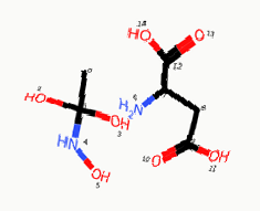 CC(O)(O)NO.NC(CC(=O)O)C(=O)O